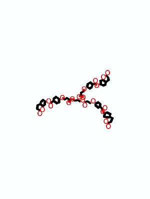 O=C(CCOc1ccc(C(=O)Oc2ccc3ccc(=O)oc3c2)cc1)OCC(COC(=O)CCOc1ccc(C(=O)Oc2ccc3ccc(=O)oc3c2)cc1)OC(=O)CCOc1ccc(C(=O)Oc2ccc3ccc(=O)oc3c2)cc1